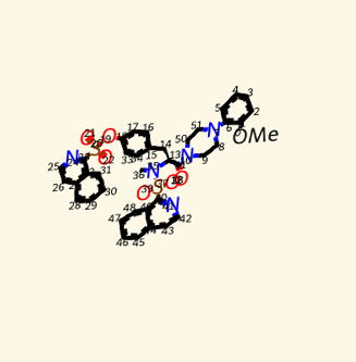 COc1ccccc1N1CCN(C(=O)[C@H](Cc2ccc(OS(=O)(=O)c3nccc4ccccc34)cc2)N(C)S(=O)(=O)c2nccc3ccccc23)CC1